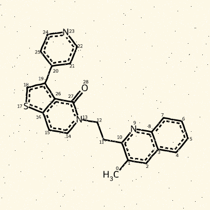 Cc1cc2ccccc2nc1CCn1ccc2scc(-c3ccncc3)c2c1=O